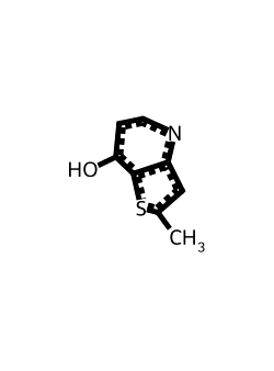 Cc1cc2nccc(O)c2s1